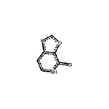 O=c1[nH]ccc2ncoc12